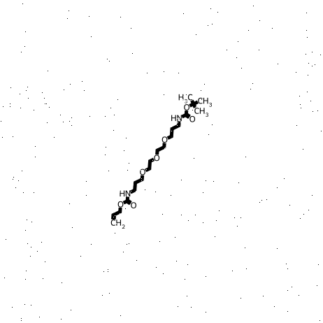 C=CCOC(=O)NCCCOCCOCCOCCCNC(=O)OC(C)(C)C